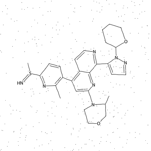 Cc1nc(S(C)=N)ccc1-c1cc(N2CCOCC2C)nc2c(-c3ccnn3C3CCCCO3)nccc12